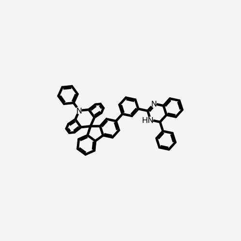 c1ccc(C2NC(c3cccc(-c4ccc5c(c4)C4(c6ccccc6-5)c5ccccc5N(c5ccccc5)c5ccccc54)c3)=Nc3ccccc32)cc1